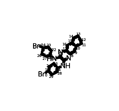 Brc1ccc(Nc2nc3cc4ccccc4cc3nc2Nc2ccc(Br)cc2)cc1